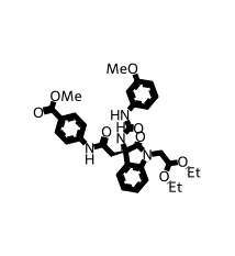 CCOC(CN1C(=O)[C@@](CC(=O)Nc2ccc(C(=O)OC)cc2)(NC(=O)Nc2cccc(OC)c2)c2ccccc21)OCC